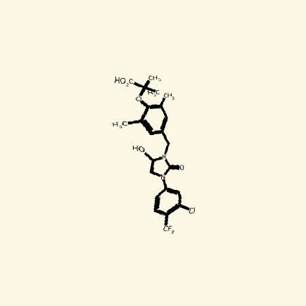 Cc1cc(CN2C(=O)N(c3ccc(C(F)(F)F)c(Cl)c3)CC2O)cc(C)c1OC(C)(C)C(=O)O